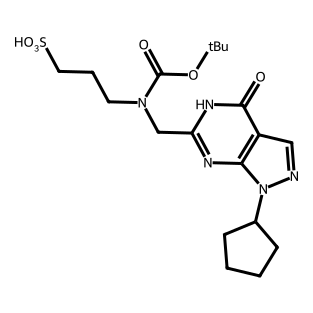 CC(C)(C)OC(=O)N(CCCS(=O)(=O)O)Cc1nc2c(cnn2C2CCCC2)c(=O)[nH]1